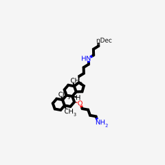 CCCCCCCCCCCCCNCCCC[C@H]1CCC2[C@H]3C(CC[C@@]21C)[C@@]1(C)CCCC[C@@]1(C)C[C@H]3OCCCCN